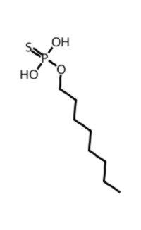 CCCCCCCCOP(O)(O)=S